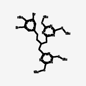 CCCCc1c(Br)cc(CCC(Cc2nc(SC(C)(C)C)nc(SC(C)(C)C)n2)Cc2nc(SC(C)(C)C)nc(SC(C)(C)C)n2)cc1Br